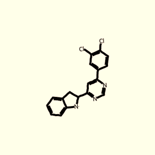 Clc1ccc(-c2cc(C3Cc4ccccc4[N]3)ncn2)cc1Cl